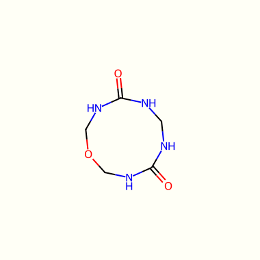 O=C1NCNC(=O)NCOCN1